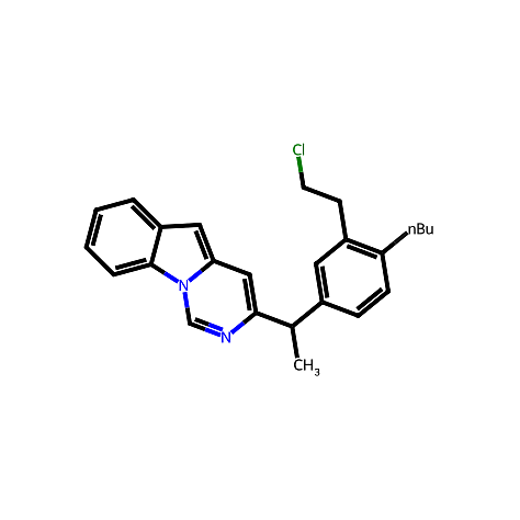 CCCCc1ccc(C(C)c2cc3cc4ccccc4n3cn2)cc1CCCl